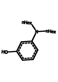 CCCCCCN(CCCCCC)c1cccc(O)c1